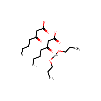 CCCCC(=O)CC(=O)[O-].CCCCC(=O)CC(=O)[O-].CCC[O][Zr+2][O]CCC